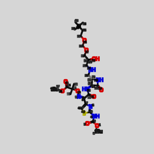 CC(C)(C)OC(=O)Nc1nc(C(=NOC(C)(C)C(=O)OC(C)(C)C)C(=O)N[C@@H]2C(=O)N[C@H]2CNC[C@H](O)COCOCC[Si](C)(C)C)cs1